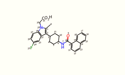 Cc1c(C2CCC(NC(=O)c3cccc4ccccc34)CC2)c2cc(F)ccc2n1CC(=O)O